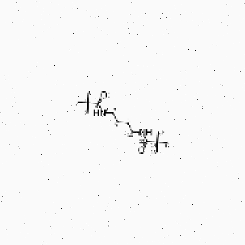 CC(C)(C)C(=O)NCCCCNC(=O)C(C)(C)C